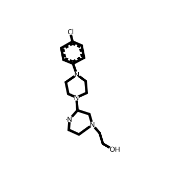 OCCN1CC[N]C(N2CCN(c3ccc(Cl)cc3)CC2)C1